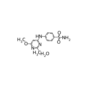 COc1cc(Nc2ccc(S(N)(=O)=O)cc2)nc(C)n1.O